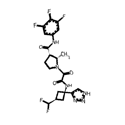 C[C@H]1[C@@H](C(=O)Nc2cc(F)c(F)c(F)c2)CCN1C(=O)C(=O)N[C@]1(c2c[nH]nn2)C[C@H](C(F)F)C1